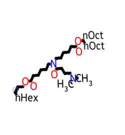 CCCCCC/C=C\COC(=O)CCCCCN(CCCCCC(=O)OC(CCCCCCCC)CCCCCCCC)C(=O)CCCN(C)C